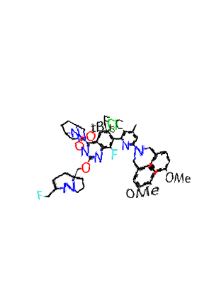 COc1ccc(CN(Cc2ccc(OC)cc2)c2cc(C)c(C(F)(F)F)c(-c3c(Cl)cc4c(N5CC6CCC(C5)N6C(=O)OC(C)(C)C)nc(OCC56CCCN5C(CF)CC6)nc4c3F)n2)cc1